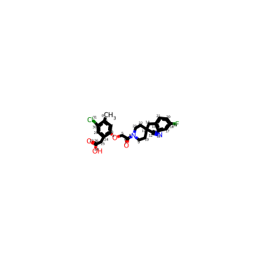 Cc1cc(OCC(=O)N2CCC(C#N)(Cc3ccc(F)cc3)CC2)c(CC(=O)O)cc1Cl